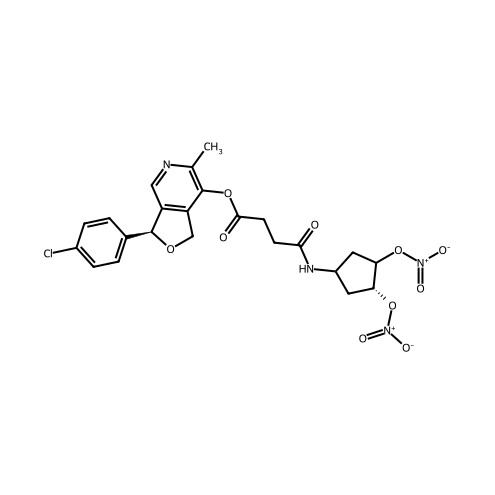 Cc1ncc2c(c1OC(=O)CCC(=O)NC1CC(O[N+](=O)[O-])[C@H](O[N+](=O)[O-])C1)CO[C@H]2c1ccc(Cl)cc1